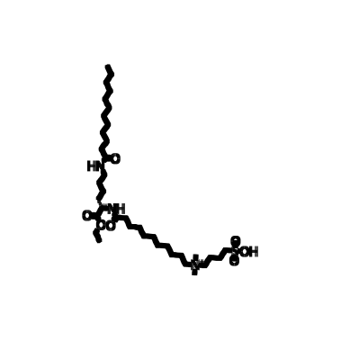 CCCCCCCCCCCC(=O)NCCCC[C@H](NC(=O)CCCCCCCCCC[N+](C)(C)CCCCS(=O)(=O)O)C(=O)OCC